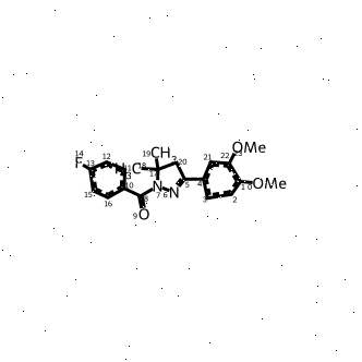 COc1ccc(C2=NN(C(=O)c3ccc(F)cc3)C(C)(C)C2)cc1OC